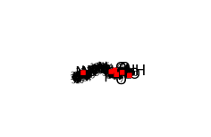 O=C1CCN(N2C(=O)c3cc(F)c(N4CCN(CC5CCN(c6ccn7c(n6)nc6ccccc67)CC5)CC4)cc3C2=O)C(=O)N1